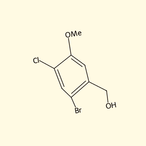 COc1cc(CO)c(Br)cc1Cl